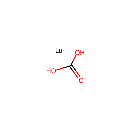 O=C(O)O.[Lu]